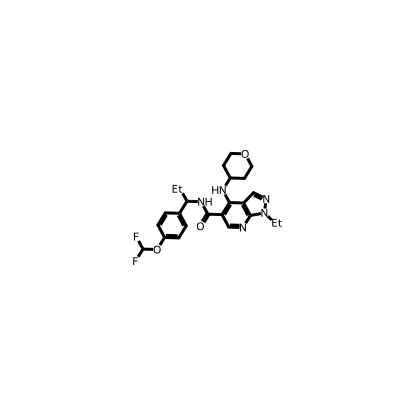 CCC(NC(=O)c1cnc2c(cnn2CC)c1NC1CCOCC1)c1ccc(OC(F)F)cc1